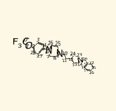 FC(F)(F)Oc1ccc(N2CCN(CCC3CCN(Cc4ccccc4)CC3)CC2)cc1